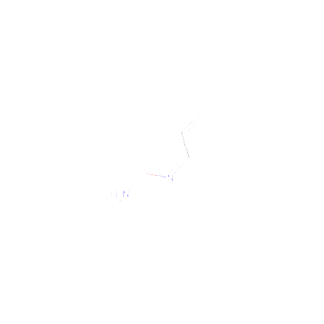 C=C/C=N\ON